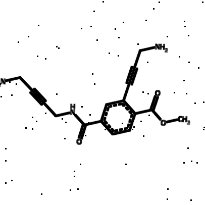 COC(=O)c1ccc(C(=O)NCC#CCN)cc1C#CCN